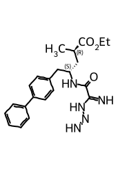 CCOC(=O)[C@H](C)C[C@@H](Cc1ccc(-c2ccccc2)cc1)NC(=O)C(=N)NN=N